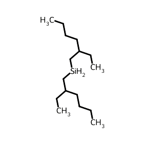 CCCCC(CC)C[SiH2]CC(CC)CCCC